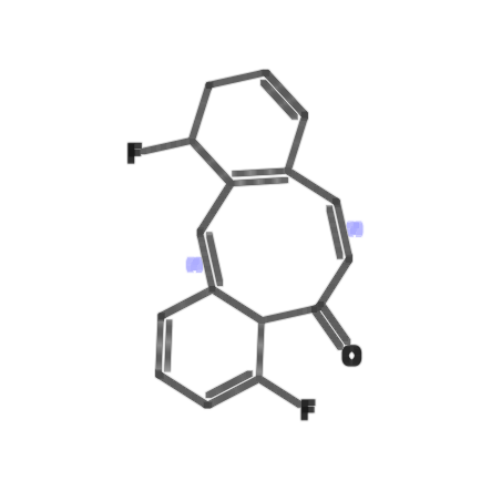 O=C1/C=C\C2=C(/C=C3/C=CC=C(F)C13)C(F)CC=C2